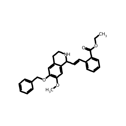 CCOC(=O)c1ccccc1/C=C/C1NCCc2cc(OCc3ccccc3)c(OC)cc21